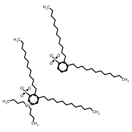 CCCCCCCCCCCCc1cccc(S(=O)(=O)[O-])c1CCCCCCCCCCCC.CCCCCCCCCCCCc1cccc(S(=O)(=O)[O-])c1CCCCCCCCCCCC.CCC[CH2][Sn+2][CH2]CCC